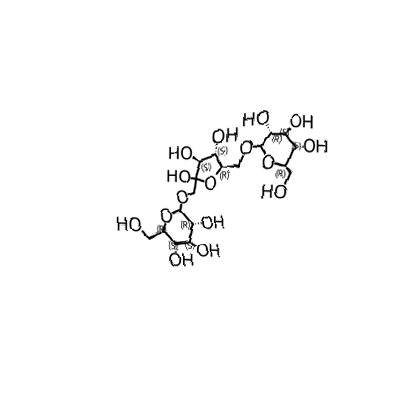 OC[C@H]1OC(OC[C@H]2OC(O)(COC3O[C@H](CO)[C@@H](O)[C@H](O)[C@H]3O)[C@@H](O)[C@@H]2O)[C@H](O)[C@@H](O)[C@@H]1O